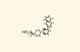 CN(C(=O)O)[C@H]1CC[C@H](c2nccc(-c3ccc4ccccc4c3)n2)CC1